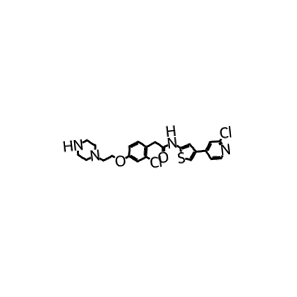 O=C(Cc1ccc(OCCN2CCNCC2)cc1Cl)Nc1cc(-c2ccnc(Cl)c2)cs1